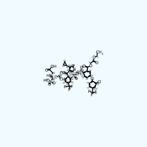 CCOC(=O)COC(=O)c1cc(Oc2ccc(C(F)(F)F)cc2Cl)ccc1[N+](=O)[O-].CS(=O)(=O)c1cc(C(F)(F)F)ccc1C(=O)c1cnoc1C1CC1.C[S+](C)C.O=C(O)CNCP(=O)([O-])O